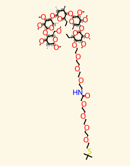 CC[C@H]1O[C@H](O[C@H]2[C@H](OC)[C@@H](OC)[C@H](O[C@H]3[C@H](OC)[C@@H](C)[C@@H](OC)O[C@@H]3COC)O[C@H]2C)[C@H](C)[C@@H](C)[C@@H]1O[C@@H]1O[C@H](C)[C@@H](O[C@H]2O[C@H](CC)[C@@H](OCCOCCOCCOCCNC(=O)COCCOCCOCCOCCSC(C)(C)C)[C@H](OC)[C@H]2OC)[C@H](OC)[C@H]1OC